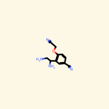 N#CCOc1ccc(C#N)cc1C(N)CN